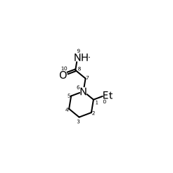 CCC1CCCCN1CC([NH])=O